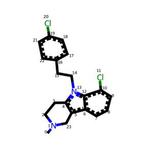 CN1CCc2c(c3cccc(Cl)c3n2CCc2ccc(Cl)cc2)C1